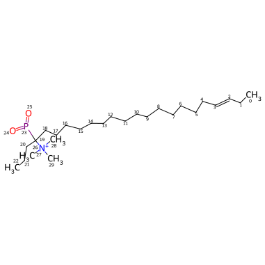 CCC=CCCCCCCCCCCCCCCCC(CCC)(P(=O)=O)[N+](C)(C)C